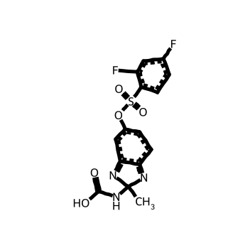 CC1(NC(=O)O)N=c2ccc(OS(=O)(=O)c3ccc(F)cc3F)cc2=N1